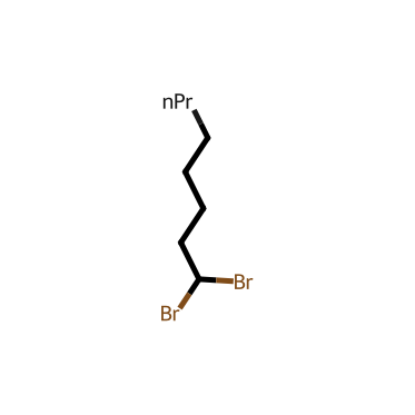 [CH2]CCCCCCC(Br)Br